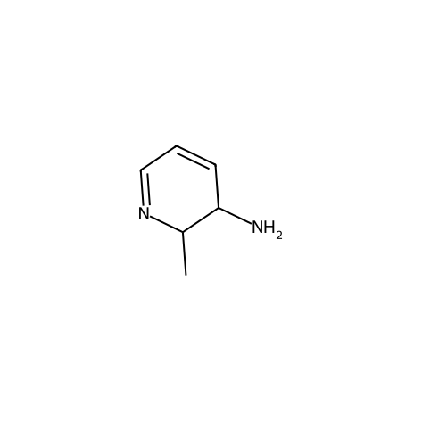 CC1N=CC=CC1N